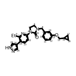 CCc1nc(N2CCN(Cc3cccc(OCC4CC4)c3)C2=O)ccc1-c1cn[nH]c1